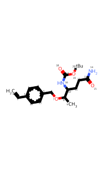 C=Cc1ccc(COC(C)C(CCC(N)=O)NC(=O)OC(C)(C)C)cc1